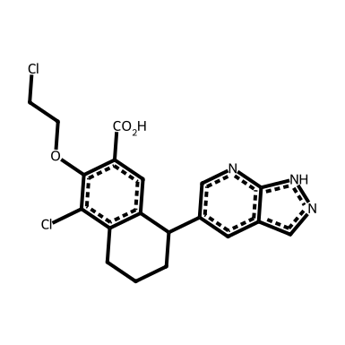 O=C(O)c1cc2c(c(Cl)c1OCCCl)CCCC2c1cnc2[nH]ncc2c1